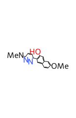 CNc1ccc(-c2cc3ccc(OC)cc3cc2O)nn1